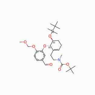 COCOc1ccc(C=O)cc1O[C@H]1C(CCN(C)C(=O)OC(C)(C)C)=CCC[C@@H]1O[Si](C)(C)C(C)(C)C